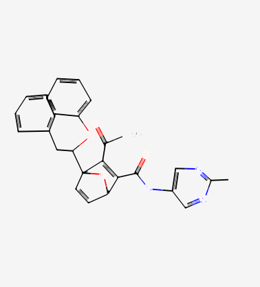 COC(=O)C1=C(C(=O)Nc2cnc(C)nc2)C2C=CC1(C(Cc1ccccc1)Oc1ccccc1)O2